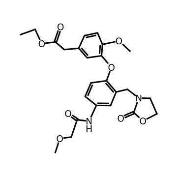 CCOC(=O)Cc1ccc(OC)c(Oc2ccc(NC(=O)COC)cc2CN2CCOC2=O)c1